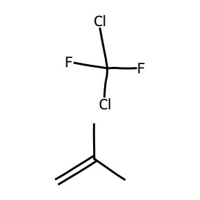 C=C(C)C.FC(F)(Cl)Cl